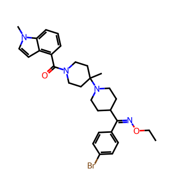 CCON=C(c1ccc(Br)cc1)C1CCN(C2(C)CCN(C(=O)c3cccc4c3ccn4C)CC2)CC1